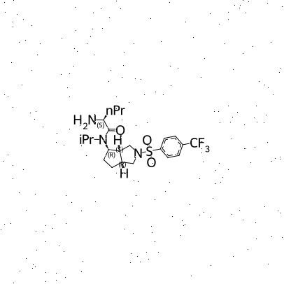 CCC[C@H](N)C(=O)N(C(C)C)[C@@H]1CC[C@H]2CN(S(=O)(=O)c3ccc(C(F)(F)F)cc3)C[C@H]21